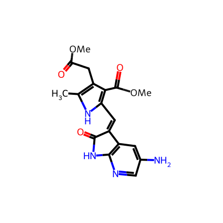 COC(=O)Cc1c(C)[nH]c(C=C2C(=O)Nc3ncc(N)cc32)c1C(=O)OC